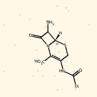 CCC(=O)NC1=C(C(=O)O)N2C(=O)C(N)[C@@H]2SC1